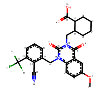 COc1ccc2c(c1)c(=O)n(CC1CCCCC1C(=O)O)c(=O)n2Cc1cccc(C(F)(F)F)c1C#N